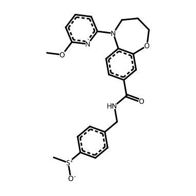 COc1cccc(N2CCCOc3cc(C(=O)NCc4ccc([S+](C)[O-])cc4)ccc32)n1